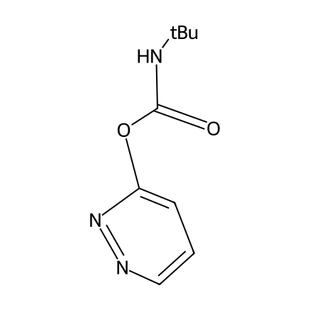 CC(C)(C)NC(=O)Oc1cccnn1